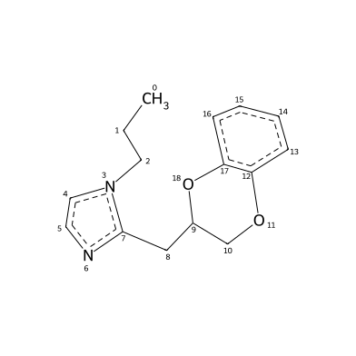 CCCn1ccnc1CC1COc2ccccc2O1